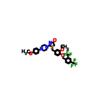 COc1ccc(N2CCN(C3=NC(=O)CS3=Cc3ccc(OCc4ccc(C(F)(F)F)cc4C(F)(F)F)c(OC)c3)CC2)cc1